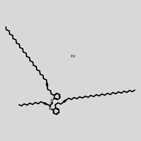 CCCCCCCCCC#CC(/C=N/c1ccccc1CCCC#CCCCCCCCCCCCCCCCCCCCCCCCCC)=N/c1ccccc1CCCC#CCCCCCCCCCCCCCCCCCCCCCCCCC.[Pd]